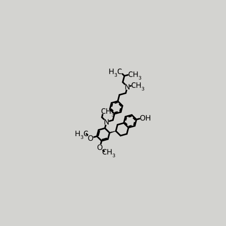 CCN(Cc1ccc(CCN(C)CC(C)C)cc1)C1C=C(OC)C(OC)=CC1[C@@H]1CCc2cc(O)ccc2C1